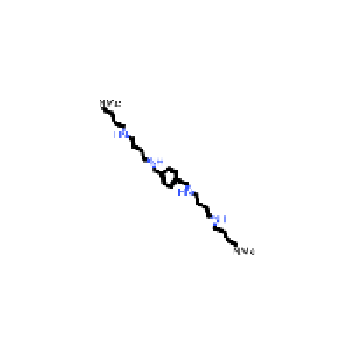 CNCCCCNCCCCNCc1ccc(CNCCCCNCCCCNC)cc1